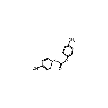 Nc1ccc(OC(=O)OC2C=CC(N=O)=CC2)cc1